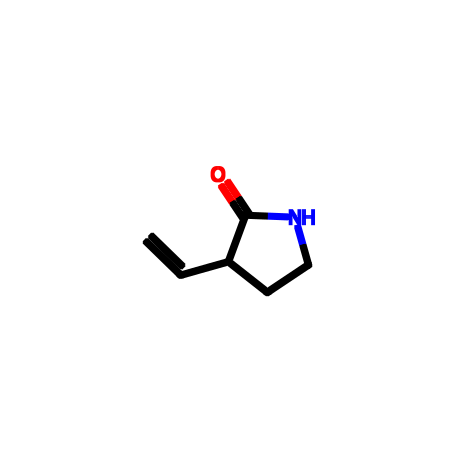 C=CC1CCNC1=O